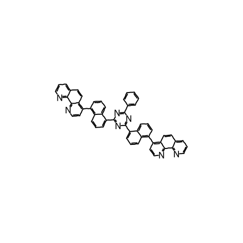 c1ccc(-c2nc(-c3cccc4c(-c5ccnc6c5ccc5cccnc56)cccc34)nc(-c3cccc4c(-c5ccnc6c5ccc5cccnc56)cccc34)n2)cc1